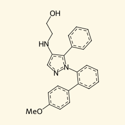 COc1ccc(-c2ccccc2-n2ncc(NCCO)c2-c2ccccc2)cc1